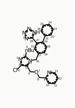 CCCCc1nc(Cl)c(COCc2ccccn2)n1Cc1ccc(-c2ccccc2)c(-c2nnn[nH]2)c1